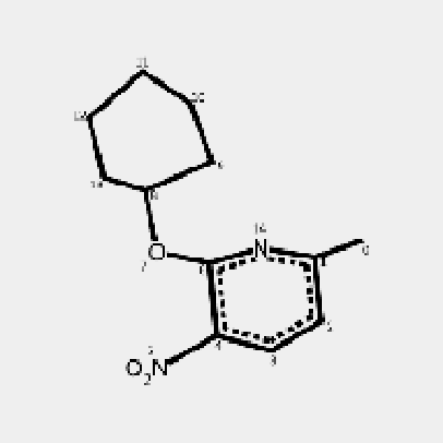 Cc1ccc([N+](=O)[O-])c(OC2CCCCC2)n1